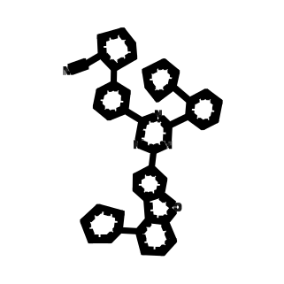 N#Cc1ccccc1-c1cccc(-c2nc(-c3ccc4c(c3)oc3cccc(-c5ccccc5)c34)nc(-c3ccccc3-c3ccccc3)n2)c1